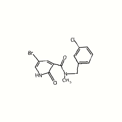 CN(Cc1cccc(Cl)c1)C(=O)c1cc(Br)c[nH]c1=O